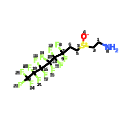 NCC[S+]([O-])CCC(F)(F)C(F)(F)C(F)(F)C(F)(F)C(F)(F)C(F)(F)F